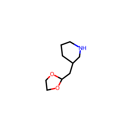 C1CNCC(CC2OCCO2)C1